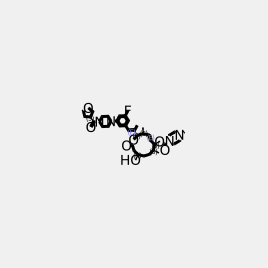 C/C(=C\c1cc(F)cc(N2CCN(C(=O)[C@H]3CCOC3)CC2)c1)[C@H]1OC(=O)C[C@H](O)CC[C@H](C)[C@H](OC(=O)N2CCN(C)CC2)/C=C/[C@@H]1C